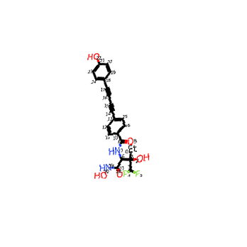 CCC(O)(C(F)F)C(NC(=O)c1ccc(C#CC#Cc2ccc(O)cc2)cc1)C(=O)NO